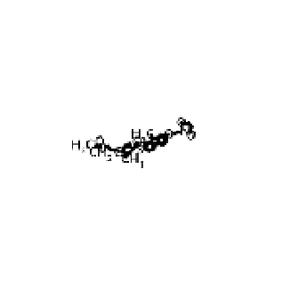 C=C(C)C(=O)OCCCOc1ccc(C(=O)Sc2ccc3c(c2)C(C)c2cc(OCCCN4C(=O)C=CC4=O)ccc2-3)cc1C